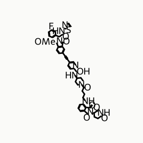 COc1ccc(F)cc1C(C(=O)Nc1nccs1)N1Cc2ccc(C#Cc3ccc(C(O)NC4CCN(C(=O)CCCNc5cccc6c5C(=O)N(C5CCC(=O)NC5=O)C6=O)CC4)nc3)cc2C1=O